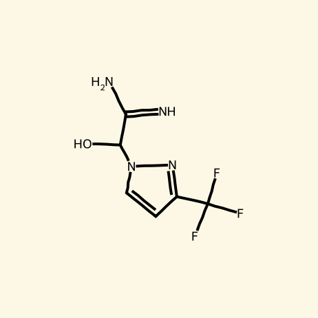 N=C(N)C(O)n1ccc(C(F)(F)F)n1